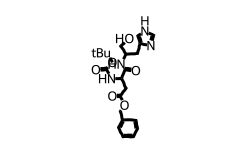 CC(C)(C)OC(=O)NC(CC(=O)OCc1ccccc1)C(=O)NC(CO)Cc1c[nH]cn1